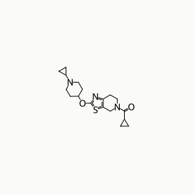 O=C(C1CC1)N1CCc2nc(OC3CCN(C4CC4)CC3)sc2C1